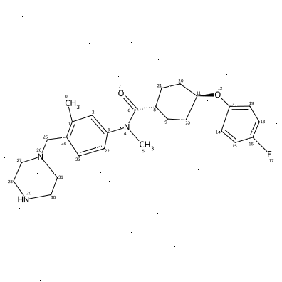 Cc1cc(N(C)C(=O)[C@H]2CC[C@H](Oc3ccc(F)cc3)CC2)ccc1CN1CCNCC1